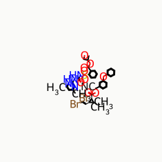 CC1(C)[C@H](C(=O)O[C@H](C#N)c2cccc(Oc3ccccc3)c2)[C@@H]1C=C(Br)Br.Cc1cc(C)nc(NC(=O)NS(=O)(=O)c2ccccc2C(=O)OC2COC2)n1